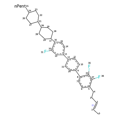 C/C=C/CCc1ccc(-c2ccc(-c3ccc(C4CCC(C5CCC(CCCCC)CC5)CC4)c(F)c3)cc2)c(F)c1F